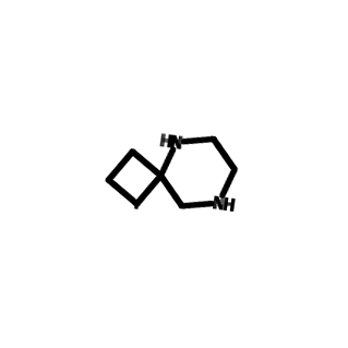 [CH]1CCC12CNCCN2